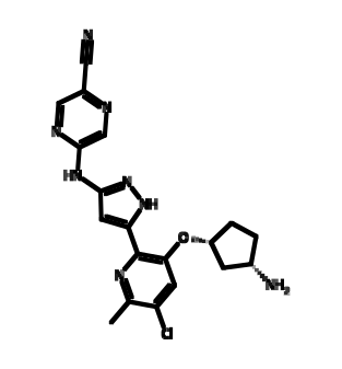 Cc1nc(-c2cc(Nc3cnc(C#N)cn3)n[nH]2)c(O[C@@H]2CC[C@H](N)C2)cc1Cl